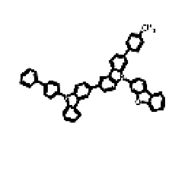 Cc1ccc(-c2ccc3c4cc(-c5ccc6c(c5)c5ccccc5n6-c5ccc(-c6ccccc6)cc5)ccc4n(-c4ccc5c(c4)oc4ccccc45)c3c2)cc1